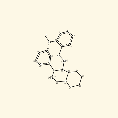 COc1ccccc1CNC1C(c2ccccc2)NCC2CCCCC21